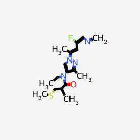 C=N/C=C(F)\C=C(/C)n1cc(N(CC)C(=O)C(C)CSC)c(C)n1